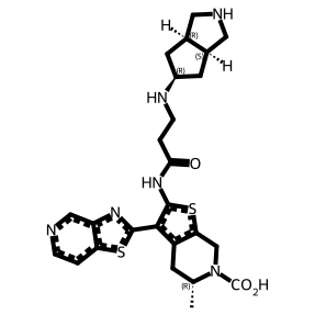 C[C@@H]1Cc2c(sc(NC(=O)CCN[C@H]3C[C@H]4CNC[C@H]4C3)c2-c2nc3cnccc3s2)CN1C(=O)O